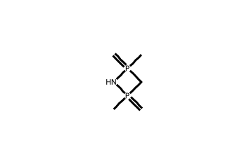 C=P1(C)CP(=C)(C)N1